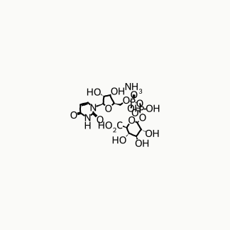 N.O=C(O)[C@H]1O[C@H](OP(=O)(O)OP(=O)(O)OC[C@H]2O[C@@H](n3ccc(=O)[nH]c3=O)[C@H](O)[C@@H]2O)[C@H](O)[C@@H](O)[C@@H]1O